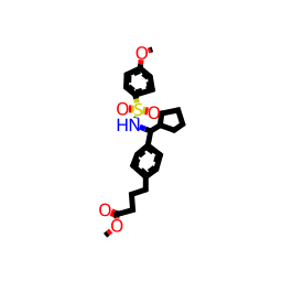 COC(=O)CCCc1ccc(C(NS(=O)(=O)c2ccc(OC)cc2)C2CCCC2)cc1